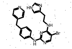 Brc1cnc(Nc2ccc(Cc3ccncc3)cc2)nc1NCCc1c[nH]cn1